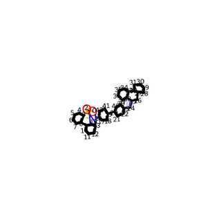 O=S1(=O)c2ccccc2-c2ccccc2N1c1ccc(-c2ccc(/C=C3/Cc4ccccc4-c4ccccc43)cc2)cc1